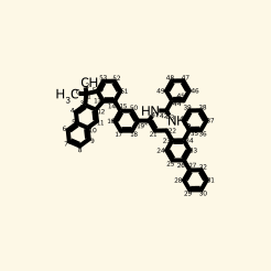 CC1(C)c2cc3ccccc3cc2-c2c(-c3cccc(/C(=C/Cc4ccc(-c5ccccc5)cc4-c4ccccc4)NC(N)c4ccccc4)c3)cccc21